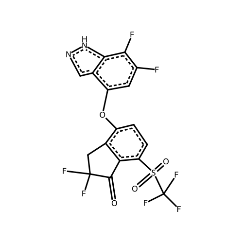 O=C1c2c(S(=O)(=O)C(F)(F)F)ccc(Oc3cc(F)c(F)c4[nH]ncc34)c2CC1(F)F